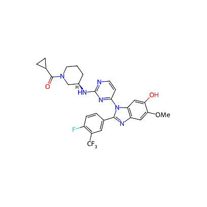 COc1cc2nc(-c3ccc(F)c(C(F)(F)F)c3)n(-c3ccnc(N[C@@H]4CCCN(C(=O)C5CC5)C4)n3)c2cc1O